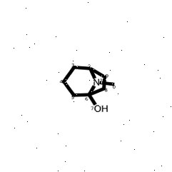 CN1C2CCCC1(O)CC2